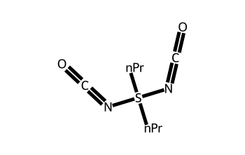 CCCS(CCC)(N=C=O)N=C=O